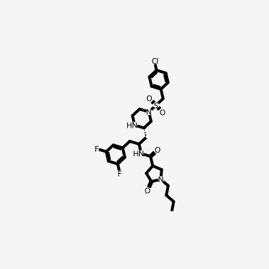 CCCCN1CC(C(=O)NC(Cc2cc(F)cc(F)c2)C[C@H]2CN(S(=O)(=O)Cc3ccc(Cl)cc3)CCN2)CC1=O